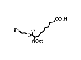 CCCCCCCCC(CCCCCCCC(=O)O)C(=O)OCCC(C)C